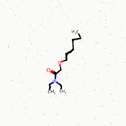 CCCCCCOCC(=O)N(CC)CC